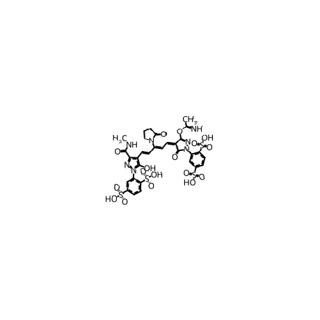 CNC(=O)c1nn(-c2cc(S(=O)(=O)O)ccc2S(=O)(=O)O)c(O)c1C=CC(=C/C=C1\C(=O)N(c2cc(S(=O)(=O)O)ccc2S(=O)(=O)O)N=C1OC(C)=N)N1CCCC1=O